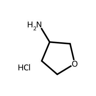 Cl.NC1CCOC1